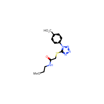 COCCNC(=O)CSc1nnnn1-c1ccc(C(=O)O)cc1